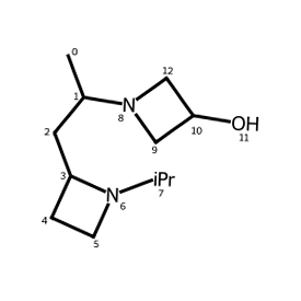 CC(CC1CCN1C(C)C)N1CC(O)C1